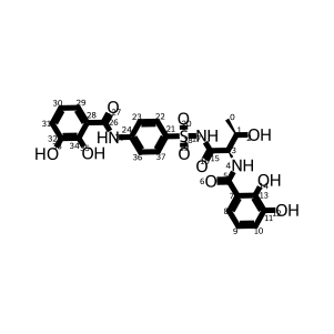 C[C@@H](O)[C@H](NC(=O)c1cccc(O)c1O)C(=O)NS(=O)(=O)c1ccc(NC(=O)c2cccc(O)c2O)cc1